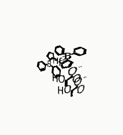 C1=CC(B(c2ccccc2)c2ccccc2)=[C]([Hf+2][C]2=C(B(c3ccccc3)c3ccccc3)C=CC2)C1.C=C(O)C(=O)[O-].C=C(O)C(=O)[O-]